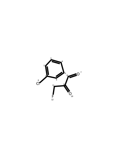 Clc1ccccc1.O=CC(=O)CF